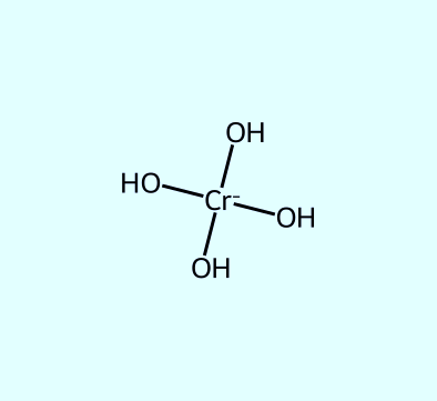 [OH][Cr-]([OH])([OH])[OH]